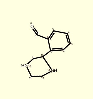 O=Cc1ccccc1C1CNCCN1